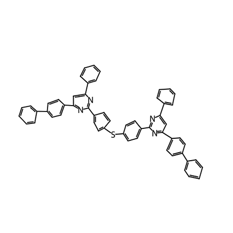 c1ccc(-c2ccc(-c3cc(-c4ccccc4)nc(-c4ccc(Sc5ccc(-c6nc(-c7ccccc7)cc(-c7ccc(-c8ccccc8)cc7)n6)cc5)cc4)n3)cc2)cc1